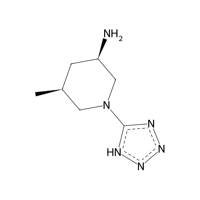 C[C@H]1C[C@@H](N)CN(c2nnn[nH]2)C1